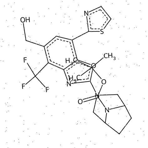 CC(C)(C)OC(=O)N1C2CCC1CN(c1nc3c(C(F)(F)F)c(CO)cc(-c4nccs4)c3o1)C2